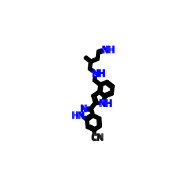 CC(CC=N)CNCc1cccc2[nH]c(-c3n[nH]c4cc(C#N)ccc34)cc12